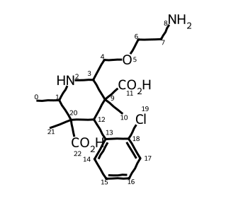 CC1NC(COCCN)C(C)(C(=O)O)C(c2ccccc2Cl)C1(C)C(=O)O